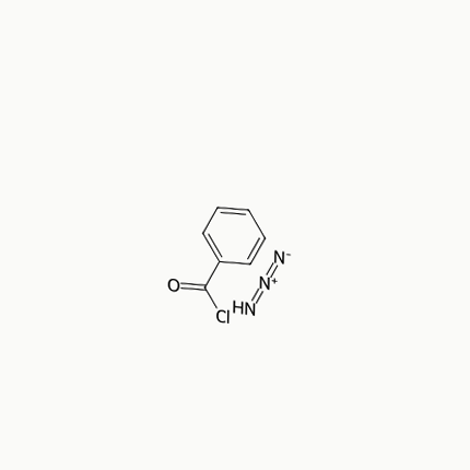 O=C(Cl)c1ccccc1.[N-]=[N+]=N